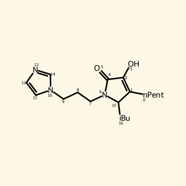 CCCCCC1=C(O)C(=O)N(CCCn2ccnc2)C1C(C)CC